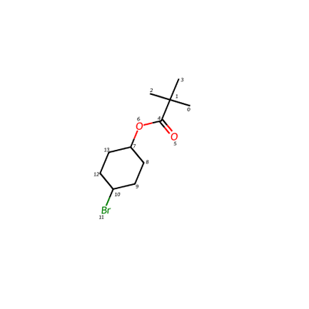 CC(C)(C)C(=O)OC1CCC(Br)CC1